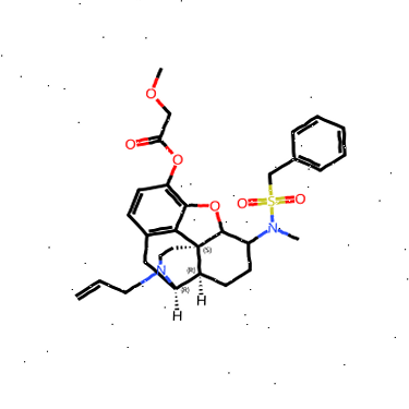 C=CCN1CC[C@]23c4c5ccc(OC(=O)COC)c4OC2C(N(C)S(=O)(=O)Cc2ccccc2)CC[C@H]3[C@H]1C5